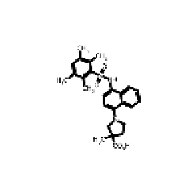 Cc1cc(C)c(C)c(S(=O)(=O)Nc2ccc(N3CCC(C)(C(=O)O)C3)c3ccccc23)c1C